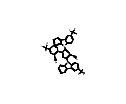 N#Cc1cc(C(F)(F)F)ccc1-c1cc(-n2c3ccccc3c3cc(C(F)(F)F)ccc32)c(C#N)cc1-n1c2ccccc2c2cc(C(F)(F)F)ccc21